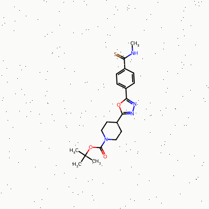 CNC(=S)c1ccc(-c2nnc(C3CCN(C(=O)OC(C)(C)C)CC3)o2)cc1